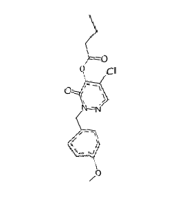 CCCC(=O)Oc1c(Cl)cnn(Cc2ccc(OC)cc2)c1=O